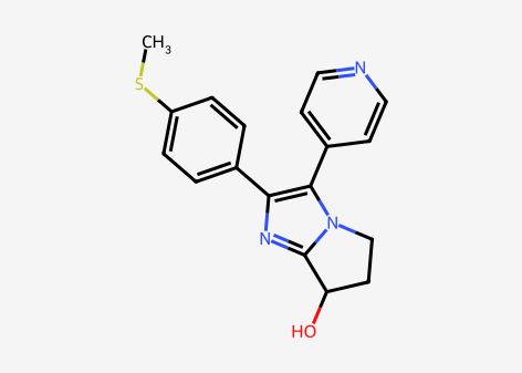 CSc1ccc(-c2nc3n(c2-c2ccncc2)CCC3O)cc1